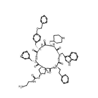 NCCNC(=O)O[C@@H]1C[C@H]2C(=O)N[C@H](CCc3ccccc3)C(=O)N[C@H](Cc3c[nH]c4ccccc34)C(=O)N[C@@H](CC3CCNCC3)C(=O)N[C@@H](Cc3ccc(OCc4ccccc4)cc3)C(=O)N[C@@H](Cc3cccnc3)C(=O)N2C1